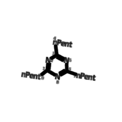 CCCCCc1nc(CCCCC)nc(CCCCC)n1